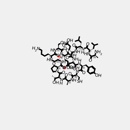 CC(C)C[C@H](NC(=O)[C@H](C)N)C(=O)N[C@@H](CC(C)C)C(=O)N[C@@H](CCC(=O)O)C(=O)N[C@H](C(=O)N[C@@H](Cc1ccc(O)cc1)C(=O)N[C@@H](CS)C(=O)N[C@@H](C)C(=O)N[C@H](C(=O)N1CCC[C@H]1C(=O)N[C@@H](C)C(=O)N[C@@H](CCCCN)C(=O)N[C@@H](CO)C(=O)N[C@@H](CCC(=O)O)C(=O)O)[C@@H](C)O)[C@@H](C)O